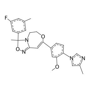 COc1cc(C2=CC3=NOC(C)(c4cc(C)cc(F)c4)N3CCO2)ccc1-n1cnc(C)c1